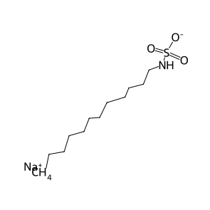 C.CCCCCCCCCCCCNS(=O)(=O)[O-].[Na+]